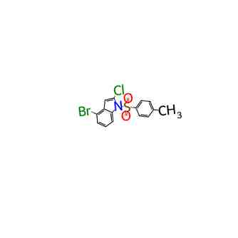 Cc1ccc(S(=O)(=O)n2c(Cl)cc3c(Br)cccc32)cc1